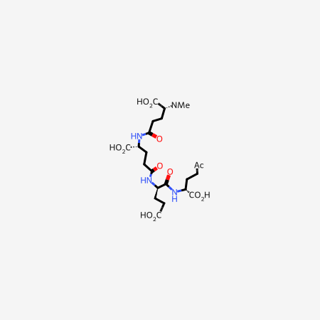 CN[C@H](CCC(=O)N[C@H](CCC(=O)N[C@H](CCC(=O)O)C(=O)N[C@H](CCC(C)=O)C(=O)O)C(=O)O)C(=O)O